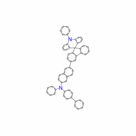 c1ccc(-c2ccc(N(c3ccccc3)c3ccc4cc(-c5ccc6c(c5)-c5ccccc5C65c6ccccc6N(c6ccccc6)c6ccccc65)ccc4c3)cc2)cc1